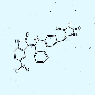 O=C1NC(=O)/C(=C\c2ccc(N/C(=C3\C(=O)Nc4ccc([N+](=O)[O-])cc43)c3ccccc3)cc2)N1